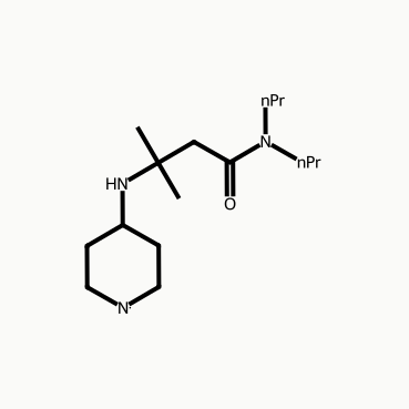 CCCN(CCC)C(=O)CC(C)(C)NC1CC[N]CC1